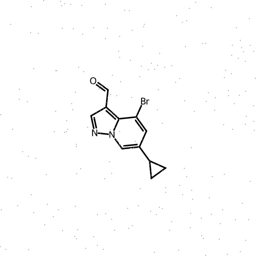 O=Cc1cnn2cc(C3CC3)cc(Br)c12